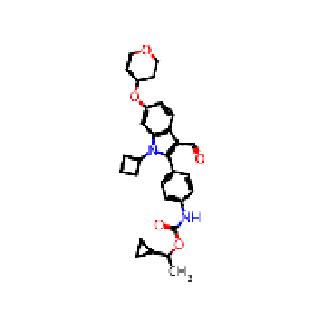 CC(OC(=O)Nc1ccc(-c2c(C=O)c3ccc(OC4CCOCC4)cc3n2C2CCC2)cc1)C1CC1